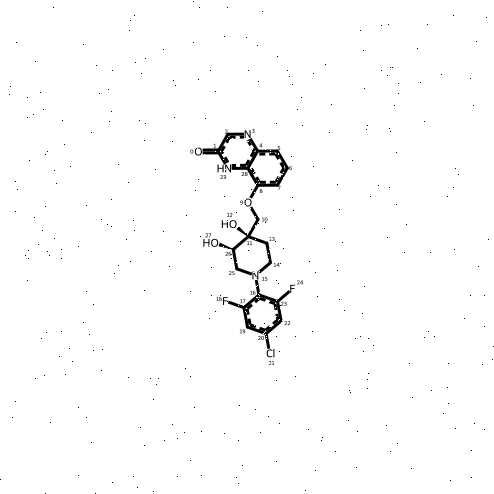 O=c1cnc2cccc(OC[C@]3(O)CCN(c4c(F)cc(Cl)cc4F)C[C@H]3O)c2[nH]1